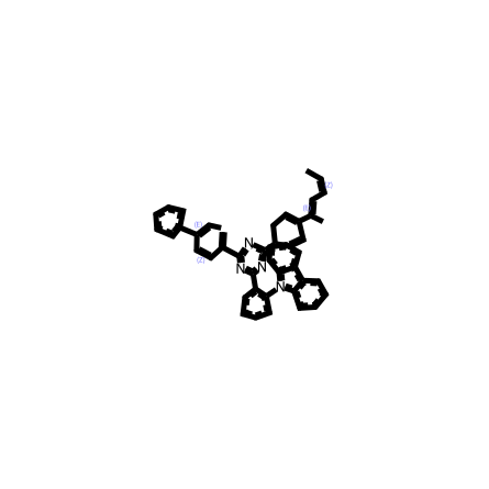 C=C(/C=C\C(=C/C)c1ccccc1)c1nc(-c2ccccc2-n2c3ccccc3c3ccccc32)nc(C2C=CC(/C(C)=C/C=C\C)=CC2)n1